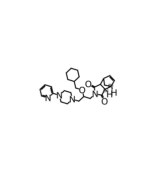 O=C1C2C3C=C[C@@H](C3)[C@@H]2C(=O)N1CC(CN1CCN(c2ccccn2)CC1)OCC1CCCCC1